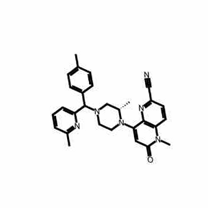 Cc1ccc(C(c2cccc(C)n2)N2CCN(c3cc(=O)n(C)c4ccc(C#N)nc34)[C@@H](C)C2)cc1